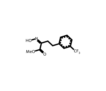 COC(=O)/C(CCc1cccc(C(F)(F)F)c1)=N\O